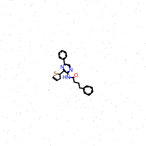 O=C(CCCc1ccccc1)Nc1ncc(-c2ccccc2)nc1C1CC=CS1